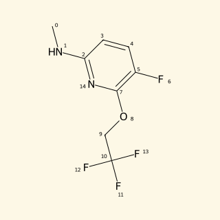 CNc1ccc(F)c(OCC(F)(F)F)n1